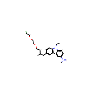 CCn1c2ccc(CC(C)CCOCCOCCF)cc2c2cc(N(C)C)ccc21